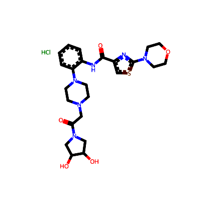 Cl.O=C(Nc1ccccc1N1CCN(CC(=O)N2CC(O)C(O)C2)CC1)c1csc(N2CCOCC2)n1